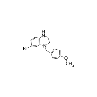 COc1ccc(CN2CCNc3ccc(Br)cc32)cc1